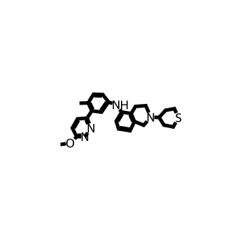 COc1ccc(-c2cc(Nc3cccc4c3CCN(C3CCSCC3)C4)ccc2C)nn1